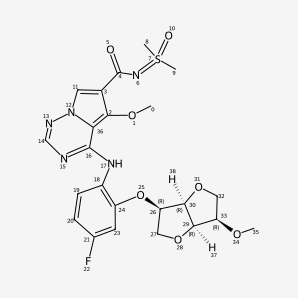 COc1c(C(=O)N=S(C)(C)=O)cn2ncnc(Nc3ccc(F)cc3O[C@@H]3CO[C@H]4[C@@H]3OC[C@H]4OC)c12